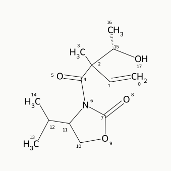 C=CC(C)(C(=O)N1C(=O)OCC1C(C)C)[C@H](C)O